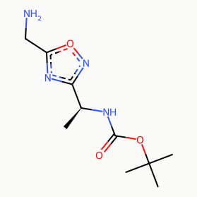 C[C@H](NC(=O)OC(C)(C)C)c1noc(CN)n1